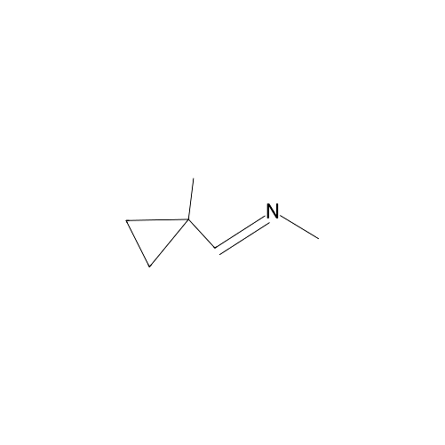 C/N=C/C1(C)CC1